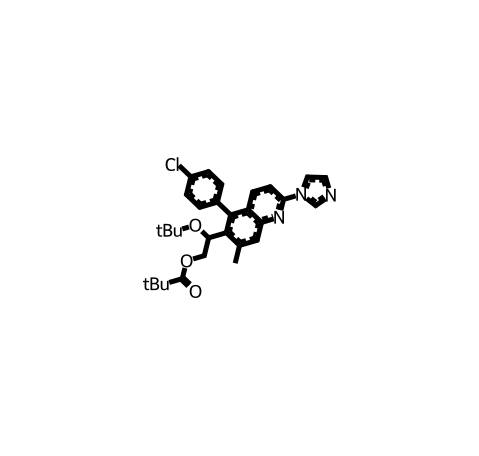 Cc1cc2nc(-n3ccnc3)ccc2c(-c2ccc(Cl)cc2)c1C(COC(=O)C(C)(C)C)OC(C)(C)C